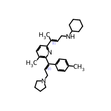 C/C(=C\CNC1CCCCC1)c1ccc(C)c(/C(=C/CN2CCCC2)c2ccc(C)cc2)n1